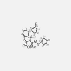 COC(=O)C(Cc1ccccc1)N(COc1ccc(F)cc1)C(=O)OCc1ccccc1